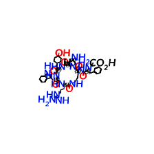 N=C(N)NCCC[C@@H]1NC(=O)[C@H](Cc2c[nH]c3ccccc23)NC(=O)[C@@H](CC2CCC(O)CC2)NC(=O)[C@@H]2C[C@@H](N)CN2C(=O)[C@@H](NC(=O)[C@H](Cc2ccccc2)NCC(=O)O)CCCNC1=O